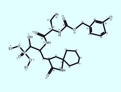 CCOP(=O)(OCC)C(O)C(CC1CC2(CCCCC2)NC1=O)NC(=O)[C@@H](CC(C)C)NC(=O)OCc1cccc(Cl)c1